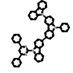 c1ccc(-c2cc(-c3ccccc3)nc(-n3c4ccccc4c4cc(-c5ccc6c(c5)c5cc(-n7c8ccccc8c8ccccc87)ccc5n6-c5ccccc5)ccc43)n2)cc1